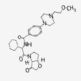 COCCN1CCN(c2ccc(C(=O)NC(C(=O)N3CC[C@H]4OCC(=O)[C@H]43)C3CCCCC3)cc2)CC1